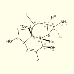 CC1=CC2C(O)CC[C@]23C(=O)C(C)C[C@@H]2C([C@@H]3[C@H]1O)[C@]2(C)N